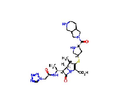 CC(NC(=O)Cn1cnnn1)[C@H]1C(=O)N2C(C(=O)O)=C(S[C@@H]3CN[C@H](C(=O)N4CC5CCNCC5C4)C3)[C@H](C)[C@H]12